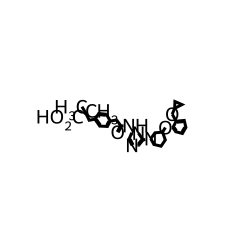 CC(C)(Cc1ccc(CC(=O)Nc2cncc(N3CCCC(Oc4ccccc4OC4CC4)C3)n2)cc1)C(=O)O